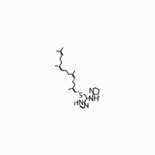 CC(C)=CCCC(C)=CCCC(C)=CCCC(C)=CCSCC(NC1=NCCC1)c1ncc[nH]1